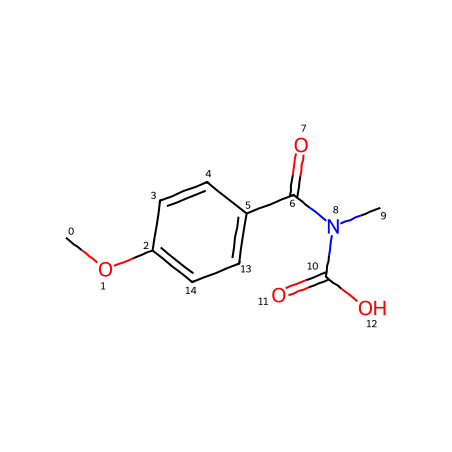 COc1ccc(C(=O)N(C)C(=O)O)cc1